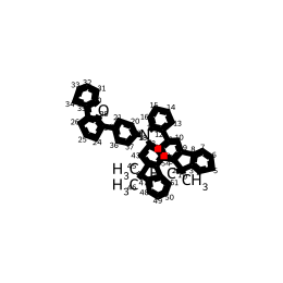 CC1(C)c2ccccc2-c2cc(-c3ccccc3N(c3ccc(-c4cccc5c4oc4ccccc45)cc3)c3ccc4c(c3)C(C)(C)c3ccccc3-4)ccc21